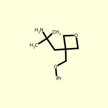 CC(C)OCC1(CC(C)(C)N)COC1